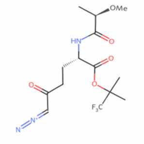 CO[C@H](C)C(=O)N[C@@H](CCC(=O)C=[N+]=[N-])C(=O)OC(C)(C)C(F)(F)F